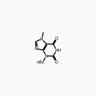 CCCCn1c(=O)[nH]c(=O)c2c1ncn2C